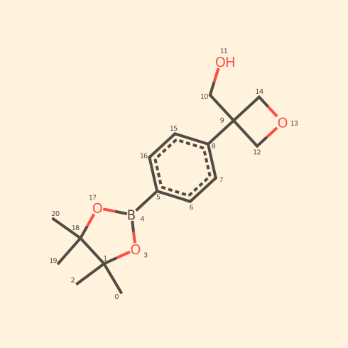 CC1(C)OB(c2ccc(C3(CO)COC3)cc2)OC1(C)C